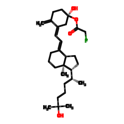 C=C1CC[C@@](O)(OC(=O)CF)CC1=CC=C1CCC[C@@]2(C)C1CC[C@@H]2[C@H](C)CCCC(C)(C)O